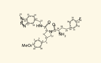 COc1ccc(CC2CC(C(=O)NCc3ccc4c(c3)nnn4C)N(C(=O)C(N)CCc3ccc(F)cc3)C2)cc1